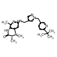 Cc1nc(NCc2cnn(Cc3ccc(C(C)(C)C)nc3)c2)cc2c1NC(=O)[C@H](C)N2C